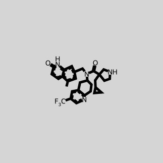 Cc1cc(CN(C(=O)C2(CC3CC3)CCNC2)C2CCc3ncc(C(F)(F)F)cc3C2)cc2[nH]c(=O)ccc12